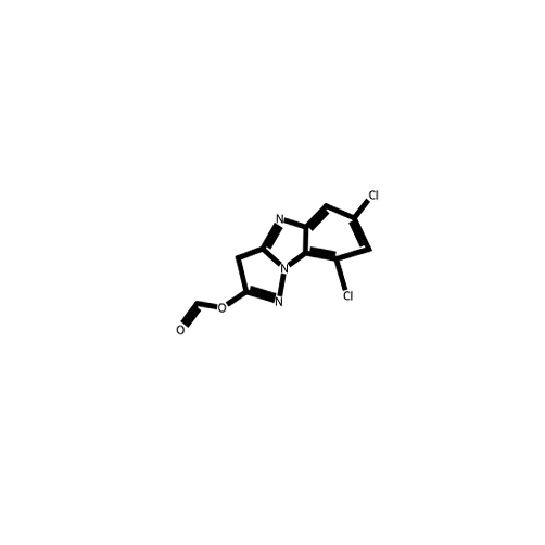 O=COC1=Nn2c(nc3cc(Cl)cc(Cl)c32)C1